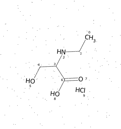 CCNC(CO)C(=O)O.Cl